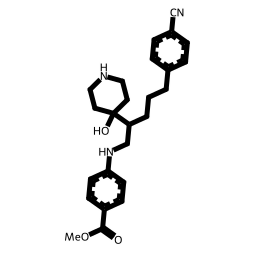 COC(=O)c1ccc(NCC(CCCc2ccc(C#N)cc2)C2(O)CCNCC2)cc1